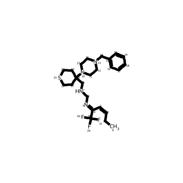 CC/C=C\C(=N/CNCC1(N2CCN(Cc3ccccc3)CC2)CCSCC1)C(F)(F)F